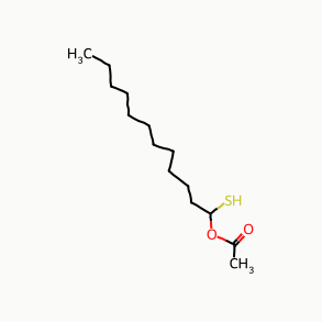 CCCCCCCCCCCC(S)OC(C)=O